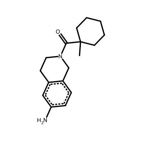 CC1(C(=O)N2CCc3cc(N)ccc3C2)CCCCC1